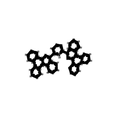 c1cc(-c2cc3c4ccccc4c4ccccc4c3c3ccccc23)nc(-c2cc3c4ccccc4c4ccccc4c3c3ccccc23)c1